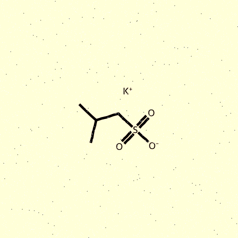 CC(C)CS(=O)(=O)[O-].[K+]